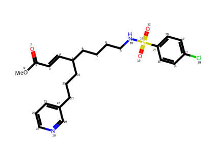 COC(=O)C=CC(CCCCNS(=O)(=O)c1ccc(Cl)cc1)CCCc1cccnc1